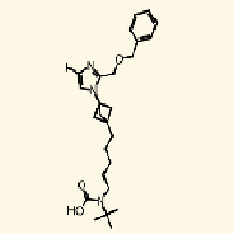 CC(C)(C)N(CCCCCC12CC(n3cc(I)nc3COCc3ccccc3)(C1)C2)C(=O)O